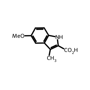 COc1ccc2[nH]c(C(=O)O)c(C)c2c1